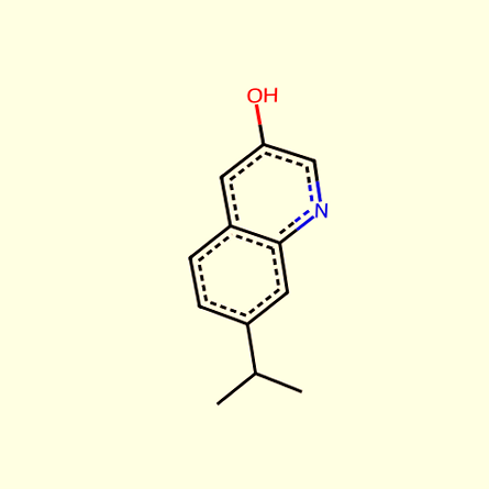 CC(C)c1ccc2cc(O)cnc2c1